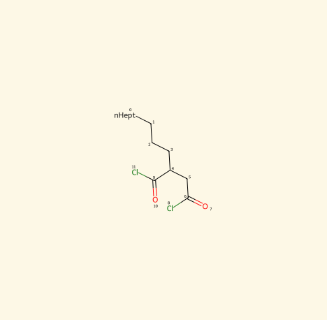 CCCCCCCCCCC(CC(=O)Cl)C(=O)Cl